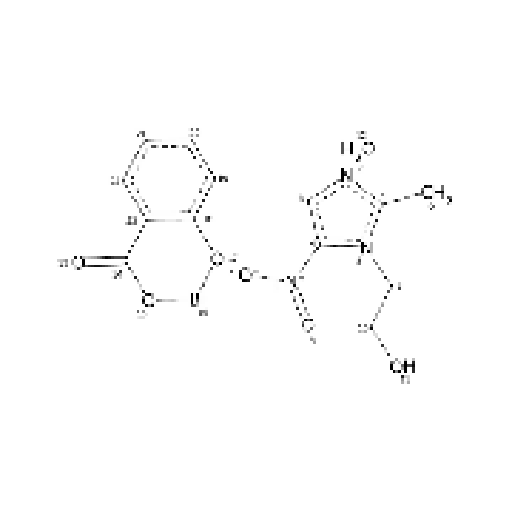 Cc1ncc([N+](=O)[O-])n1CCO.O.O=C1[O][Bi][O]c2ccccc21